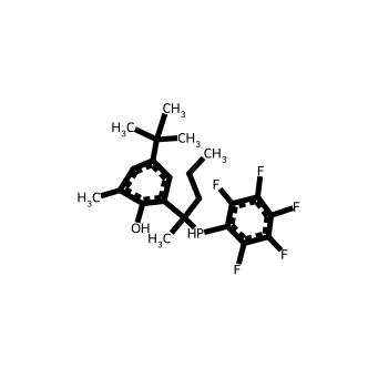 CCCC(C)(Pc1c(F)c(F)c(F)c(F)c1F)c1cc(C(C)(C)C)cc(C)c1O